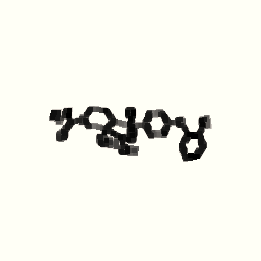 NC(=O)N1CCC(S(=O)(=O)c2ccc(Oc3ccccc3Cl)cc2)C(O)(C(=O)O)C1